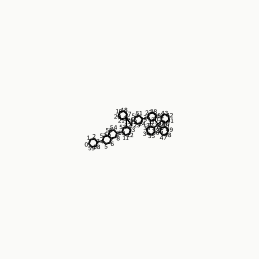 c1ccc(-c2ccc3cc(-c4cccc(N(c5ccccc5)c5ccc(-c6cccc7c6-c6ccccc6C7(c6ccccc6)c6ccccc6)cc5)c4)ccc3c2)cc1